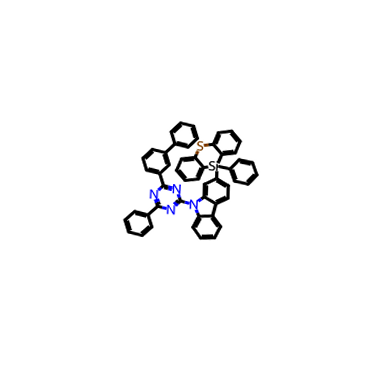 c1ccc(-c2cccc(-c3nc(-c4ccccc4)nc(-n4c5ccccc5c5ccc([Si]6(c7ccccc7)c7ccccc7Sc7ccccc76)cc54)n3)c2)cc1